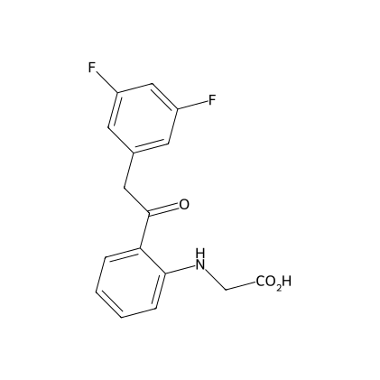 O=C(O)CNc1ccccc1C(=O)Cc1cc(F)cc(F)c1